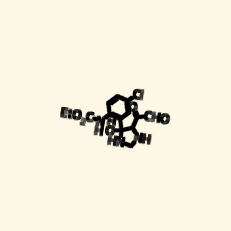 CCOC(=O)Nc1ccc(Cl)cc1C1(O)NCNC1C(=O)C=O